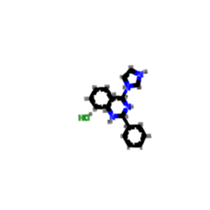 Cl.c1ccc(-c2nc(-n3ccnc3)c3ccccc3n2)cc1